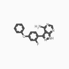 Nc1ncnc2[nH]nc(-c3ccc(Oc4ccccc4)cc3F)c12